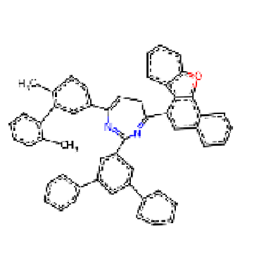 Cc1ccccc1-c1cc(C2=CCC(c3cc4ccccc4c4oc5ccccc5c34)=NC(c3cc(-c4ccccc4)cc(-c4ccccc4)c3)=N2)ccc1C